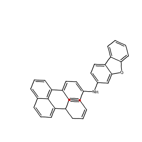 C1=CCC(c2cccc3cccc(-c4ccc(Nc5ccc6c(c5)oc5ccccc56)cc4)c23)C=C1